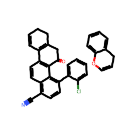 C1=COc2ccccc2C1.N#Cc1ccc(-c2ccccc2Cl)c2c3c(ccc12)C1=C(CCC=C1)CC3=O